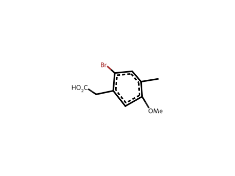 COc1cc(CC(=O)O)c(Br)cc1C